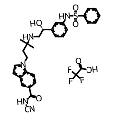 CC(C)(CCn1ccc2cc(C(=O)NC#N)ccc21)NC[C@H](O)c1cccc(NS(=O)(=O)c2ccccc2)c1.O=C(O)C(F)(F)F